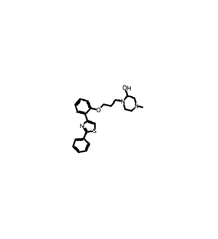 CN1CCN(CCCOc2ccccc2-c2csc(-c3ccccc3)n2)C(O)C1